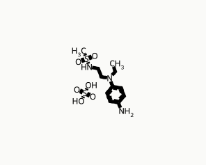 CCN(CCNS(C)(=O)=O)c1ccc(N)cc1.O=S(=O)(O)O